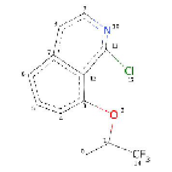 CC(Oc1cccc2ccnc(Cl)c12)C(F)(F)F